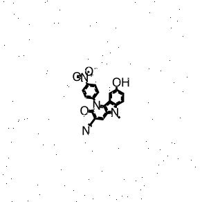 Cn1c2ccc(O)cc2c2c1cc(C#N)c(=O)n2-c1ccc([N+](=O)[O-])cc1